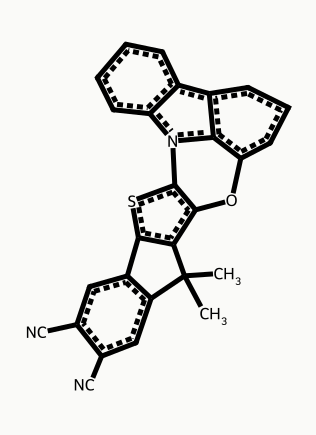 CC1(C)c2cc(C#N)c(C#N)cc2-c2sc3c(c21)Oc1cccc2c4ccccc4n-3c12